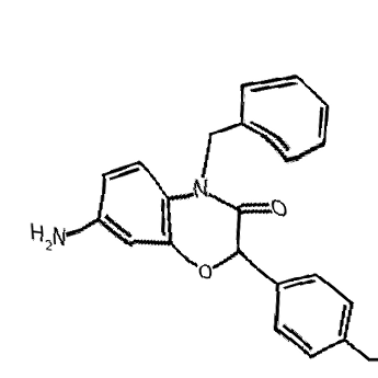 Nc1ccc2c(c1)OC(c1ccc(Cl)cc1)C(=O)N2Cc1ccccc1